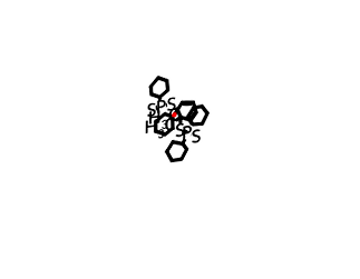 CC1(SP(=S)(C2CCCCC2)C2CCCCC2)C=CC=CC1(C)SP(=S)(C1CCCCC1)C1CCCCC1